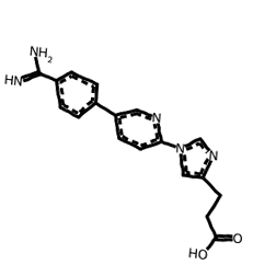 N=C(N)c1ccc(-c2ccc(-n3cnc(CCC(=O)O)c3)nc2)cc1